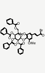 COc1cc(C=CC(=O)Br)cc(OC)c1O[C@@H]1O[C@H](COC(=O)c2ccccc2)[C@H](OC(=O)c2ccccc2)[C@H](OC(=O)c2ccccc2)[C@H]1OC(=O)c1ccccc1